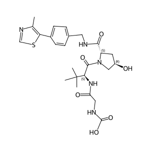 Cc1ncsc1-c1ccc(CNC(=O)[C@@H]2C[C@@H](O)CN2C(=O)[C@@H](NC(=O)CNC(=O)O)C(C)(C)C)cc1